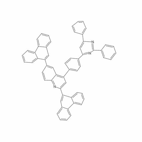 c1ccc(-c2cc(-c3ccc(-c4cc(-c5cc6ccccc6c6ccccc56)nc5ccc(-c6cc7ccccc7c7ccccc67)cc45)cc3)nc(-c3ccccc3)n2)cc1